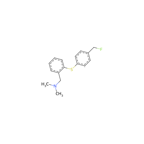 CN(C)Cc1ccccc1Sc1[c]cc(CF)cc1